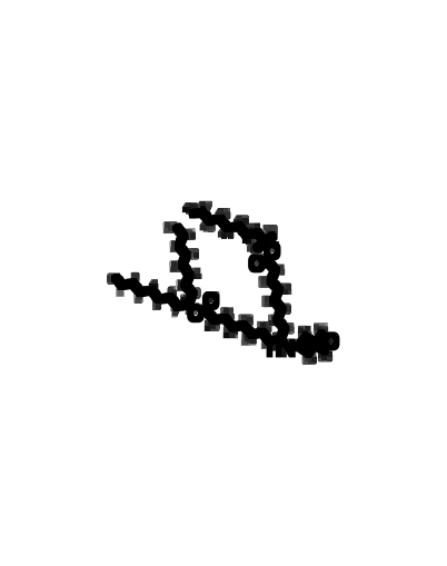 CCCCCCCCC(CCCCCCCC)OC(=O)CCCCCCCC(CCCCCCCC(=O)OC(C)(C)CCCCCCCC)NC1CC2(COC2)C1